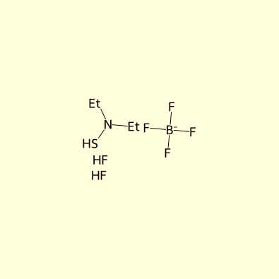 CCN(S)CC.F.F.F[B-](F)(F)F